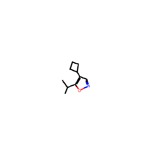 CC(C)c1oncc1C1CCC1